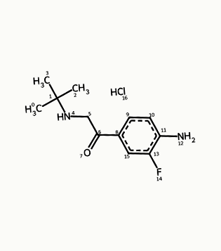 CC(C)(C)NCC(=O)c1ccc(N)c(F)c1.Cl